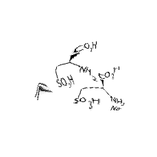 C=C.N[C@@H](CS(=O)(=O)O)C(=O)O.N[C@@H](CS(=O)(=O)O)C(=O)O.[Na]